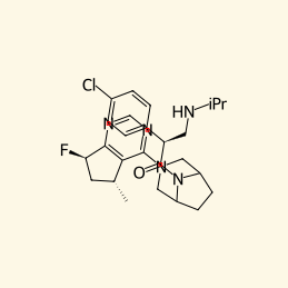 CC(C)NC[C@@H](C(=O)N1C2CCC1CN(c1ncnc3c1[C@H](C)C[C@H]3F)C2)c1ccc(Cl)cc1